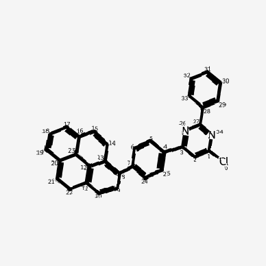 Clc1cc(-c2ccc(-c3ccc4c5c3C=CC3=CC=CC(=CC4)C35)cc2)nc(-c2ccccc2)n1